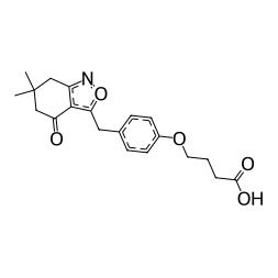 CC1(C)CC(=O)c2c(noc2Cc2ccc(OCCCC(=O)O)cc2)C1